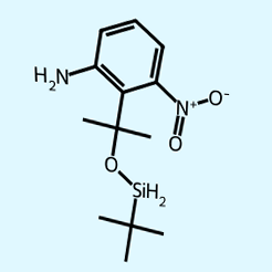 CC(C)(C)[SiH2]OC(C)(C)c1c(N)cccc1[N+](=O)[O-]